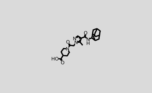 Cc1c(C(=O)NC2C3CC4CC(C3)CC2C4)cnn1CC(=O)N1CCC(C(=O)O)CC1